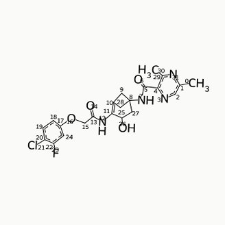 Cc1cnc(C(=O)NC23CC(=C(NC(=O)COc4ccc(Cl)c(F)c4)C(O)C2)C3)c(C)n1